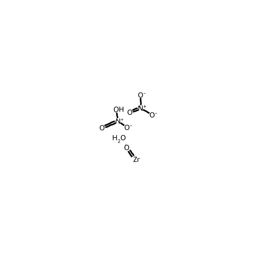 O.O=[N+]([O-])O.O=[N+]([O-])[O-].[O]=[Zr]